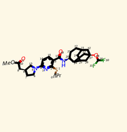 CCCSc1nc(N2CC[C@@H](CC(=O)OC)C2)ccc1C(=O)N[C@H]1CCC2CC3C[C@@](OC(F)F)(C2)CC31